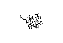 CC(C)C(=O)Nc1nc2c(ncn2C2OCC(F)C2OP(OCCC#N)N(C(C)C)C(C)C)c(=O)[nH]1